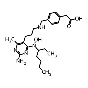 CCCCC(CC)N(O)c1nc(N)nc(C)c1CCCNCc1ccc(CC(=O)O)cc1